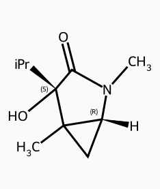 CC(C)[C@@]1(O)C(=O)N(C)[C@@H]2CC21C